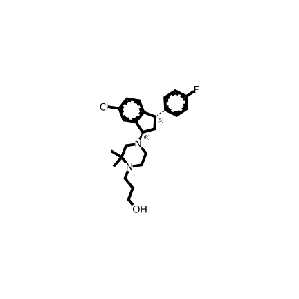 CC1(C)CN([C@@H]2C[C@@H](c3ccc(F)cc3)c3ccc(Cl)cc32)CCN1CCCO